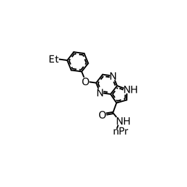 CCCNC(=O)c1c[nH]c2ncc(Oc3cccc(CC)c3)nc12